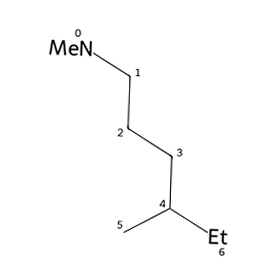 [CH2]NCCCC(C)CC